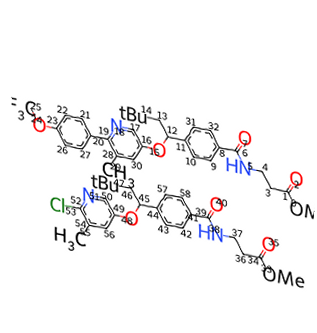 COC(=O)CCNC(=O)c1ccc(C(CC(C)(C)C)Oc2cnc(-c3ccc(OC(F)(F)F)cc3)c(C)c2)cc1.COC(=O)CCNC(=O)c1ccc(C(CC(C)(C)C)Oc2cnc(Cl)c(C)c2)cc1